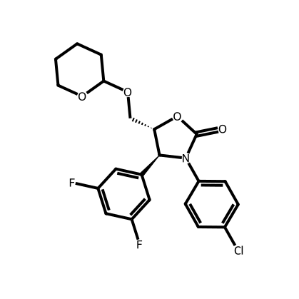 O=C1O[C@@H](COC2CCCCO2)[C@H](c2cc(F)cc(F)c2)N1c1ccc(Cl)cc1